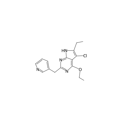 CCOc1nc(Cc2cccnc2)nc2[nH]c(CC)c(Cl)c12